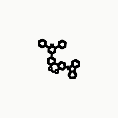 c1ccc(-c2cc(-c3ccc4c(c3)-c3ccc(-n5c6ccccc6c6ccccc65)cc3OCO4)cc(-c3ccccc3)n2)cc1